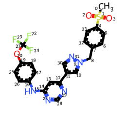 CS(=O)(=O)c1ccc(Cn2cc(-c3cc(Nc4ccc(OC(F)(F)F)cc4)ncn3)cn2)cc1